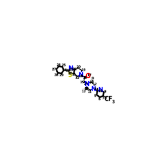 C[C@@H]1CN(c2ccc(C(F)(F)F)cn2)C[C@H](C)N1CC(=O)N1CCc2nc(-c3ccccc3)sc2C1